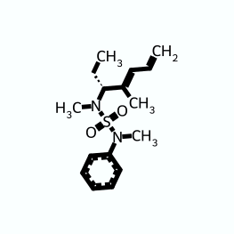 C=C/C=C(\C)[C@@H](CC)N(C)S(=O)(=O)N(C)c1ccccc1